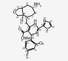 COC(=O)C1=C(CN2CC[C@@H](N)CC3COC[C@H]32)NC(c2nccs2)=N[C@H]1c1ccc(F)cc1Cl